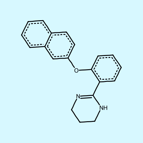 c1ccc(C2=NCCCN2)c(Oc2ccc3ccccc3c2)c1